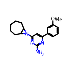 COc1cccc(-c2cc(N3C4CCCCCC43)nc(N)n2)c1